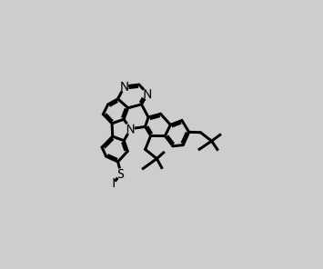 CC(C)(C)Cc1ccc2c(CC(C)(C)C)c3c(cc2c1)c1ncnc2ccc4c5ccc(SI)cc5n3c4c21